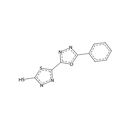 Sc1nnc(-c2nnc(-c3ccccc3)o2)s1